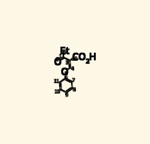 CCC(=O)C(=COc1ccccc1)C(=O)O